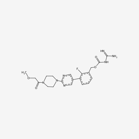 COCC(=O)N1CCN(c2ncc(-c3cccc(COC(=O)NC(=N)N)c3F)cn2)CC1